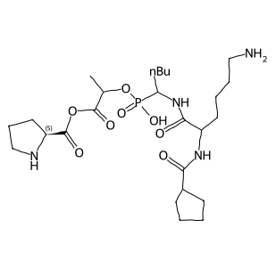 CCCCC(NC(=O)C(CCCCN)NC(=O)C1CCCC1)P(=O)(O)OC(C)C(=O)OC(=O)[C@@H]1CCCN1